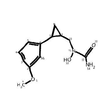 COc1cccc(C2CC2CN(O)C(N)=O)c1